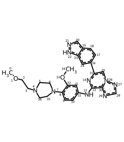 COCCN1CCN(c2ccc(Nc3nc(-c4ccc5cn[nH]c5c4)cn4ncnc34)cc2OC)CC1